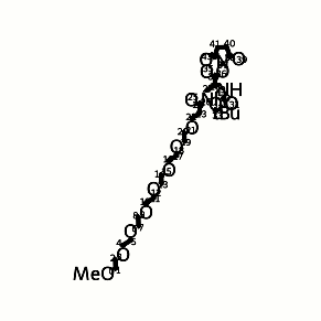 COCCOCCOCCOCCOCCOCCOCCOCCC(=O)NCC(NC(=O)OC(C)(C)C)C(=O)ON1C(=O)CCC1=O